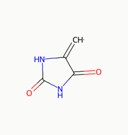 [CH]=C1NC(=O)NC1=O